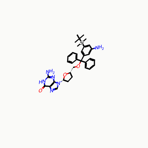 CC(C)(C)[Si](C)(C)c1cc(N)cc(C(OC[C@@H]2CC[C@H](n3cnc4c(=O)[nH]c(N)nc43)O2)(c2ccccc2)c2ccccc2)c1